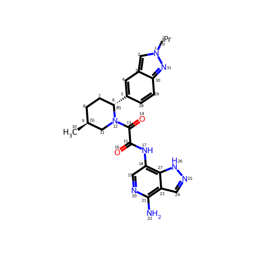 CC(C)n1cc2cc([C@H]3CC[C@H](C)CN3C(=O)C(=O)Nc3cnc(N)c4cn[nH]c34)ccc2n1